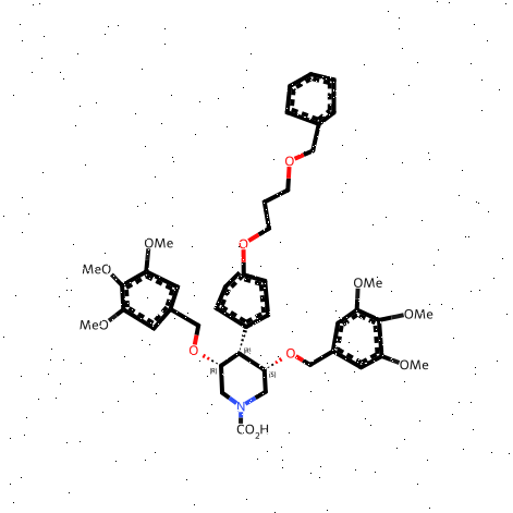 COc1cc(CO[C@H]2CN(C(=O)O)C[C@@H](OCc3cc(OC)c(OC)c(OC)c3)[C@H]2c2ccc(OCCCOCc3ccccc3)cc2)cc(OC)c1OC